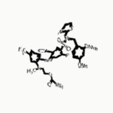 CNC(=O)OCCN(C)c1cc(C(F)(F)F)ccc1Nc1cc(F)c(S(=O)(=O)N(Cc2ccc(OC)cc2OC)c2nccs2)cc1Cl